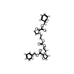 O=C(OCCN1CCOC1C(=O)OCc1ccccc1)OCCN1CCOC1C(=O)OCc1ccccc1